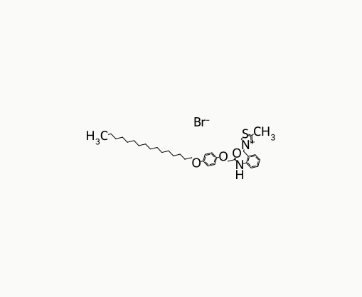 CCCCCCCCCCCCCCCCOc1ccc(OCC(=O)Nc2ccccc2C[n+]2csc(C)c2)cc1.[Br-]